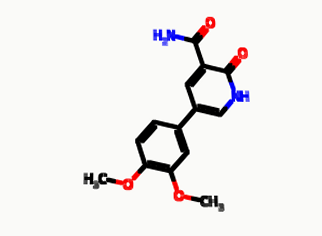 COc1ccc(-c2c[nH]c(=O)c(C(N)=O)c2)cc1OC